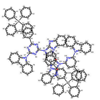 c1ccc([Si](c2ccccc2)(c2ccc(-c3ccc4c(c3)n3c5ccccc5nc3n4-c3nc(-c4cccc(-c5ccccc5[Si](c5ccccc5)(c5ccccc5)c5ccccc5)c4)nc(-n4c5ccccc5c5ccccc54)n3)cc2)c2ccccc2-c2cccc(-c3cc(-n4c5ccccc5c5ccccc54)nc(-n4c5ccccc5n5c6ccccc6nc45)c3)c2)cc1